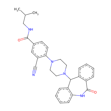 CC(C)CNC(=O)c1ccc(N2CCN(C3c4ccccc4NC(=O)c4ccccc43)CC2)c(C#N)c1